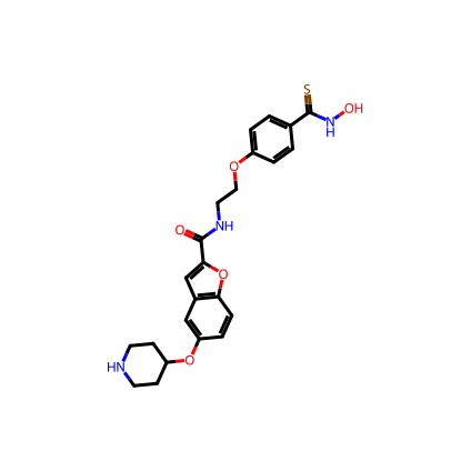 O=C(NCCOc1ccc(C(=S)NO)cc1)c1cc2cc(OC3CCNCC3)ccc2o1